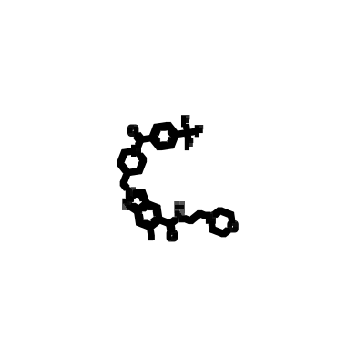 Cc1cc2nn(CC3CCN(C(=O)c4ccc(C(F)(F)F)cc4)CC3)cc2cc1C(=O)NCCN1CCOCC1